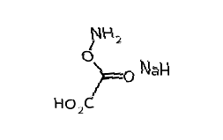 NOC(=O)C(=O)O.[NaH]